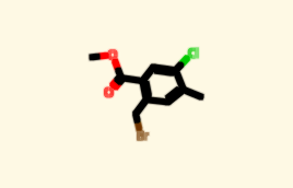 COC(=O)c1cc(Cl)c(C)cc1CBr